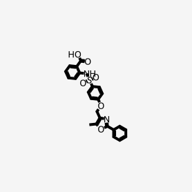 Cc1oc(-c2ccccc2)nc1COc1ccc(S(=O)(=O)Nc2ccccc2C(=O)O)cc1